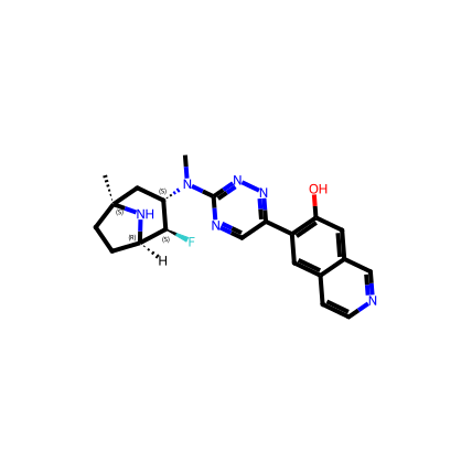 CN(c1ncc(-c2cc3ccncc3cc2O)nn1)[C@H]1C[C@]2(C)CC[C@@H](N2)[C@@H]1F